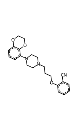 N#Cc1ccccc1OCCCN1CCN(c2cccc3c2OCCO3)CC1